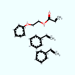 C=CC(=O)OCCOc1ccccc1.C=Cc1ccccc1.C=Cc1ccccc1